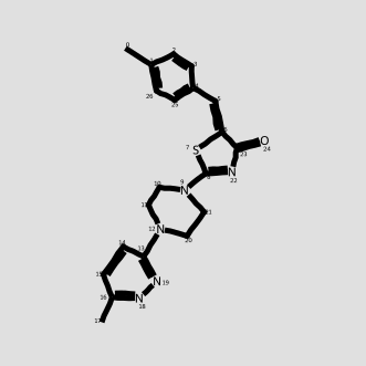 Cc1ccc(/C=C2\SC(N3CCN(c4ccc(C)nn4)CC3)=NC2=O)cc1